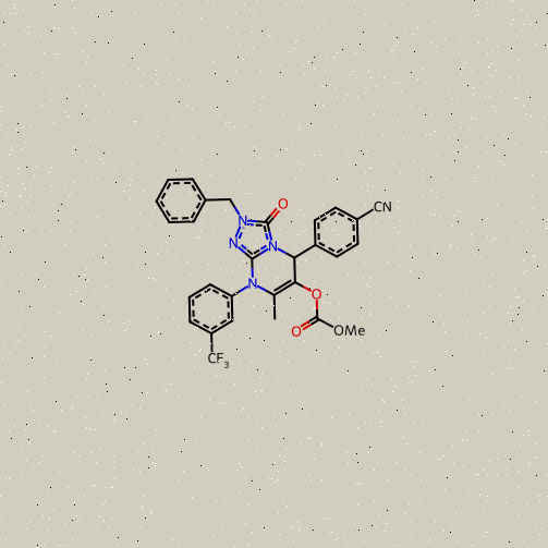 COC(=O)OC1=C(C)N(c2cccc(C(F)(F)F)c2)c2nn(Cc3ccccc3)c(=O)n2C1c1ccc(C#N)cc1